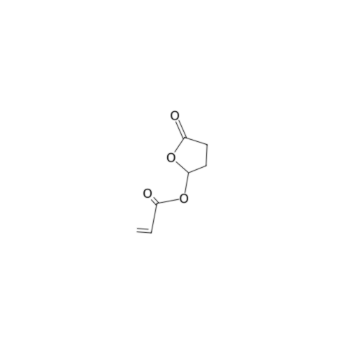 C=CC(=O)OC1CCC(=O)O1